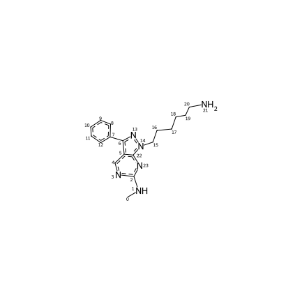 CNc1ncc2c(-c3ccccc3)nn(CCCCCCN)c2n1